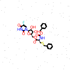 O=C(N[C@@H](CSCc1ccccc1)C(=O)OC[C@H]1O[C@@H](n2cc(F)c(=O)[nH]c2=O)[C@H](O)[C@@H]1O)OCc1ccccc1